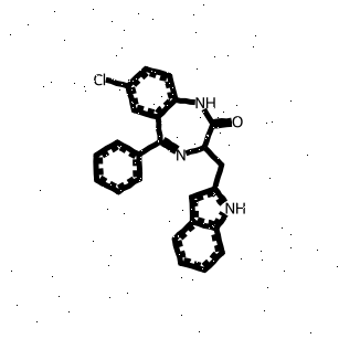 O=C1Nc2ccc(Cl)cc2C(c2ccccc2)=NC1Cc1cc2ccccc2[nH]1